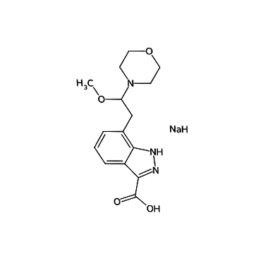 COC(Cc1cccc2c(C(=O)O)n[nH]c12)N1CCOCC1.[NaH]